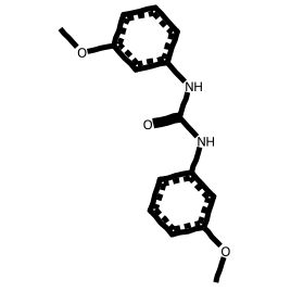 COc1cccc(NC(=O)Nc2cccc(OC)c2)c1